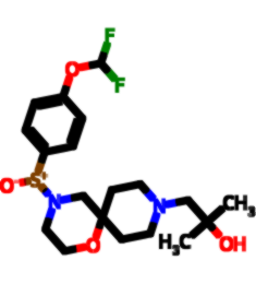 CC(C)(O)CN1CCC2(CC1)CN([S+]([O-])c1ccc(OC(F)F)cc1)CCO2